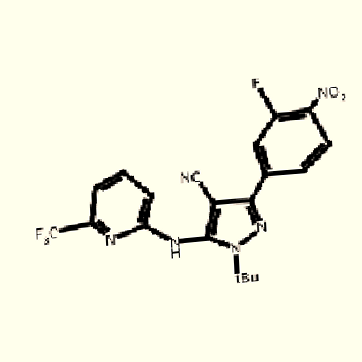 CC(C)(C)n1nc(-c2ccc([N+](=O)[O-])c(F)c2)c(C#N)c1Nc1cccc(C(F)(F)F)n1